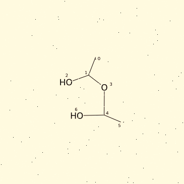 [CH2]C(O)OC([CH2])O